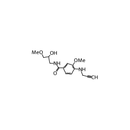 C#CCNc1ccc(C(=O)NCC(O)COC)cc1OC